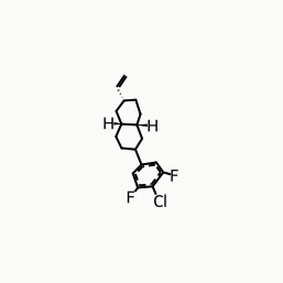 C=C[C@@H]1CC[C@@H]2CC(c3cc(F)c(Cl)c(F)c3)CC[C@@H]2C1